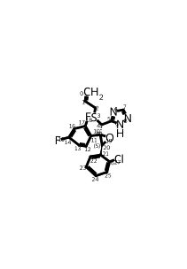 C=CCSC(c1ncn[nH]1)[C@]1(c2ccc(F)cc2F)O[C@H]1c1ccccc1Cl